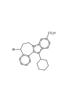 O=C(O)c1ccc2c(C3CCCCC3)c3n(c2c1)CCC(Br)c1ccccc1-3